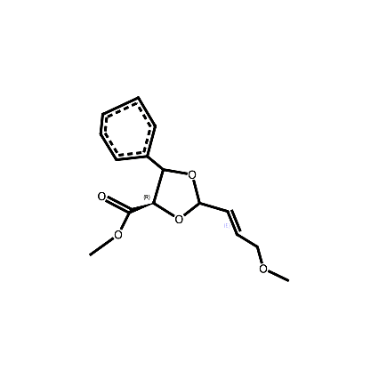 COC/C=C/C1OC(c2ccccc2)[C@H](C(=O)OC)O1